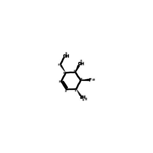 B[C@@H]1C=C[C@H](CO)[C@@H](O)[C@H]1F